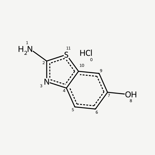 Cl.Nc1nc2ccc(O)cc2s1